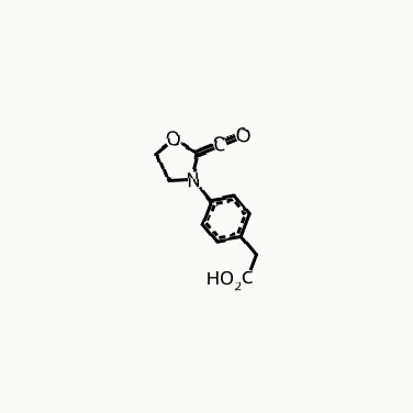 O=C=C1OCCN1c1ccc(CC(=O)O)cc1